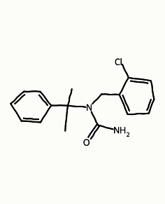 CC(C)(c1ccccc1)N(Cc1ccccc1Cl)C(N)=O